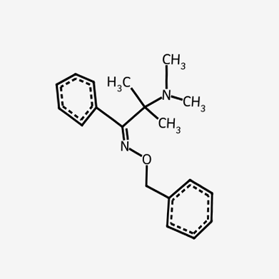 CN(C)C(C)(C)C(=NOCc1ccccc1)c1ccccc1